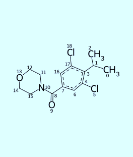 CC(C)c1c(Cl)cc(C(=O)N2CCOCC2)cc1Cl